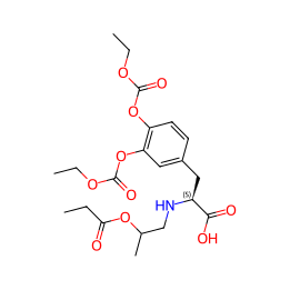 CCOC(=O)Oc1ccc(C[C@H](NCC(C)OC(=O)CC)C(=O)O)cc1OC(=O)OCC